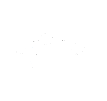 O=C(Cc1cccc(Cl)c1)Nc1ccc(C(=O)N2Cc3cccn3Cc3ccsc32)cc1